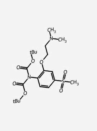 CN(C)CCOc1cc(S(C)(=O)=O)ccc1N(C(=O)OC(C)(C)C)C(=O)OC(C)(C)C